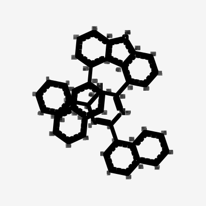 c1ccc(C2N=C(c3cccc4ccccc34)N=C(c3cccc4oc5cccc(-c6ccc7ccccc7c6)c5c34)N2)cc1